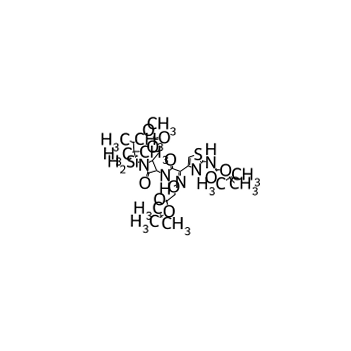 COC(=O)OCC1C(NC(=O)/C(=N\OCC(=O)OC(C)(C)C)c2csc(NC(=O)OC(C)(C)C)n2)C(=O)N1[SiH2]C(C)(C)C(C)C